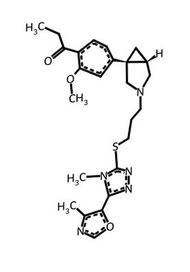 CCC(=O)c1ccc([C@@]23C[C@@H]2CN(CCCSc2nnc(-c4ocnc4C)n2C)C3)cc1OC